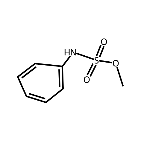 COS(=O)(=O)Nc1ccccc1